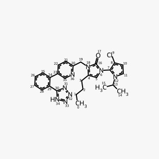 CCCCc1cn(-c2c(Cl)ccn2C(C)C)c(=O)n1Cc1ccc(-c2ccccc2-c2nnn[nH]2)cn1